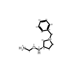 NCOB[C@@H]1CCN(Cc2ccccc2)C1